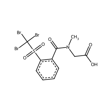 CN(CC(=O)O)C(=O)c1ccccc1S(=O)(=O)C(Br)(Br)Br